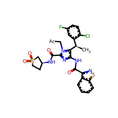 CC(=O)Cn1c(C(=O)N[C@H]2CCS(=O)(=O)C2)nc(NC(=O)c2nsc3ccccc23)c1[C@H](C)c1cc(F)ccc1Cl